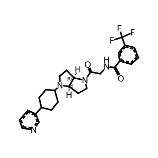 O=C(NCC(=O)N1CC[C@@H]2[C@H]1CCN2C1CCC(c2cccnc2)CC1)c1cccc(C(F)(F)F)c1